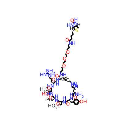 CC(C)C[C@@H]1NC(=O)[C@H](CC(=O)O)NC(=O)[C@H](Cc2ccc(O)cc2)NC(=O)[C@@H](N)Cc2cn(nn2)CCCC[C@@H](C(=O)NCCCOCCOCCOCCCNC(=O)CCCC[C@H]2SC[C@H]3NC(=O)N[C@H]32)NC(=O)[C@H](CCCNC(=N)N)NC(=O)[C@H]([C@H](C)O)NC1=O